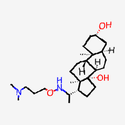 CC(NOCCCN(C)C)[C@H]1CC[C@]2(O)[C@@H]3CC[C@@H]4C[C@@H](O)CC[C@]4(C)[C@H]3CC[C@]12C